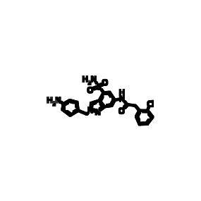 Nc1ccc(Cn2cc3c(S(N)(=O)=O)cc(NC(=O)Cc4ccccc4Cl)cc3n2)cc1